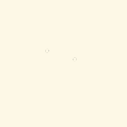 C=C/C=C\C1=C(C=C)OCCO1